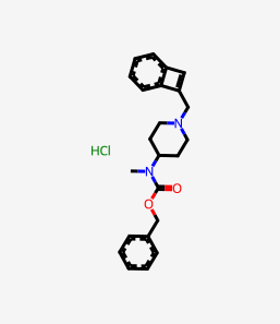 CN(C(=O)OCc1ccccc1)C1CCN(CC2=Cc3ccccc32)CC1.Cl